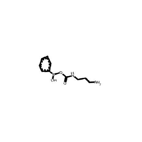 NCCCNC(=O)OB(O)c1ccccc1